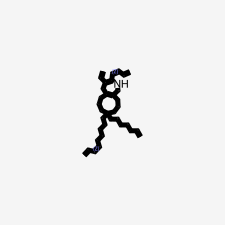 C=C/C=C\CCCCCC1(CCCCCC=C)CCCC2=C(CCC1)CC(C=C)=C(/C=C\C=C)NC2